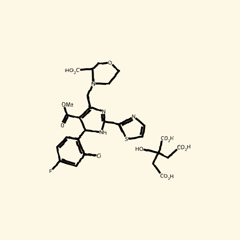 COC(=O)C1=C(CN2CCOCC2C(=O)O)N=C(c2nccs2)NC1c1ccc(F)cc1Cl.O=C(O)CC(O)(CC(=O)O)C(=O)O